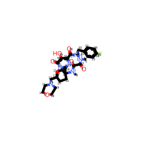 CN(C)C(=O)C(=O)N(C)C12CCC(CN3CCOCC3)(CC1)Cn1c2nc(C(=O)NCc2ccc(F)cc2)c(O)c1=O